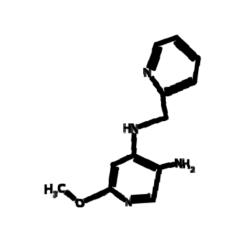 COc1cc(NCc2ccccn2)c(N)cn1